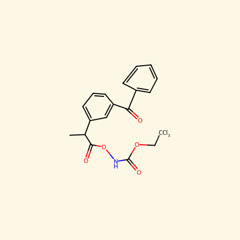 CC(C(=O)ONC(=O)OCC(Cl)(Cl)Cl)c1cccc(C(=O)c2ccccc2)c1